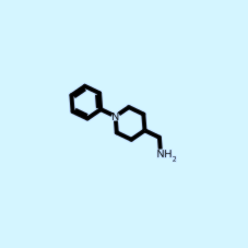 NCC1CCN(c2ccccc2)CC1